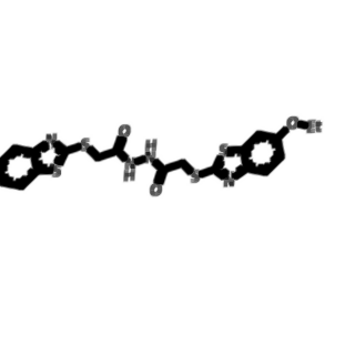 CCOc1ccc2nc(SCC(=O)NNC(=O)CSc3nc4ccccc4s3)sc2c1